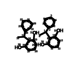 CC(c1ccccc1)c1c(O)cccc1O.CC(c1ccccc1)c1c(O)cccc1O